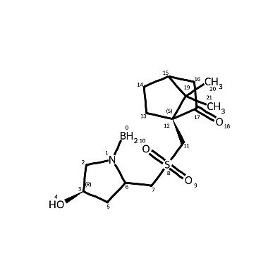 BN1C[C@H](O)CC1CS(=O)(=O)C[C@]12CCC(CC1=O)C2(C)C